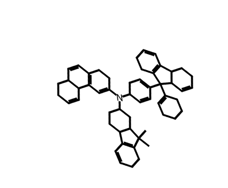 CC1(C)C2=C(C=CCC2)C2CCC(N(C3=CC4=C(C=CC5CCC=CC45)CC3)C3C=CC(C4(C5=CCCCC5)C5=C(C=CCC5)C5CCC=CC54)=CC3)CC21